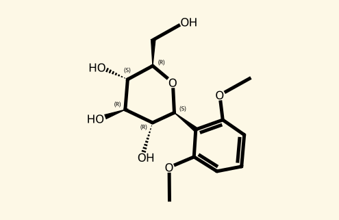 COc1cccc(OC)c1[C@@H]1O[C@H](CO)[C@@H](O)[C@H](O)[C@H]1O